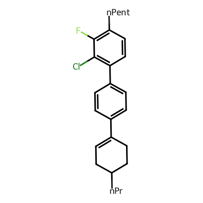 CCCCCc1ccc(-c2ccc(C3=CCC(CCC)CC3)cc2)c(Cl)c1F